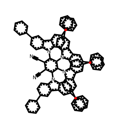 N#Cc1c(C#N)c(-n2c3ccc(-c4ccccc4)cc3c3cc(-c4ccccc4)ccc32)c(-n2c3ccc(-c4ccccc4)cc3c3cc(-c4ccccc4)ccc32)c(-n2c3ccc(-c4ccccc4)cc3c3cc(-c4ccccc4)ccc32)c1-n1c2ccc(-c3ccccc3)cc2c2cc(-c3ccccc3)ccc21